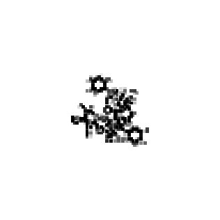 Cc1cn([C@@H]2O[C@@](COCc3ccccc3)(C3(O[Si](C)(C)C(C)(C)C)CC=CC3)C(OCc3ccccc3)C2OS(C)(=O)=O)c(=O)[nH]c1=O